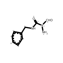 NN(C=O)C(=O)NCc1cc[c]cc1